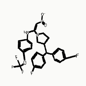 O=[N+]([O-])C=C(Nc1ccc(OC(F)(F)F)cc1)N1CCC(C(c2ccc(F)cc2)c2ccc(F)cc2)C1